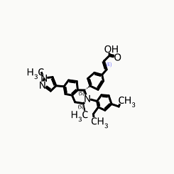 CCc1ccc(N2[C@@H](c3ccc(/C=C/C(=O)O)cc3)c3ccc(-c4cnn(C)c4)cc3C[C@@H]2C)c(CC)c1